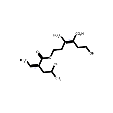 CC(O)C/C(=C/C(=O)O)C(=O)OCC/C(C(=O)O)=C(\CCO)C(=O)O